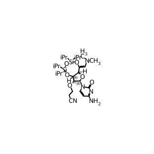 CC(C)[Si]1(C(C)C)OC(=CN(C)C)[C@H]2O[C@@H](n3ccc(N)nc3=O)[C@H](OCCC#N)[C@@H]2O[Si](C(C)C)(C(C)C)O1